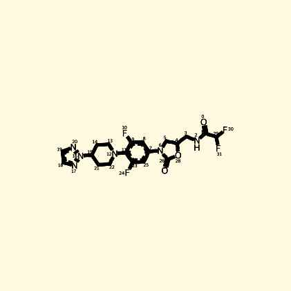 O=C(NCC1CN(c2cc(F)c(N3CCC(n4nccn4)CC3)c(F)c2)C(=O)O1)C(F)F